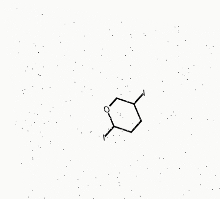 IC1CCC(I)OC1